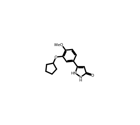 COc1ccc(-c2cc(=O)[nH][nH]2)cc1OC1CCCC1